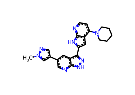 Cn1cc(-c2cnc3[nH]nc(-c4cc5c(N6CCCCC6)ccnc5[nH]4)c3c2)cn1